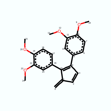 C=C1C=CC(c2ccc(OC)c(OC)c2)=C1c1ccc(OC)c(OC)c1